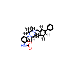 [2H]c1c([2H])c(CN2C([2H])([2H])C([2H])([2H])N(c3cccc4[nH]c(=O)oc34)C([2H])([2H])C2([2H])[2H])c([2H])c(-c2ccccc2)c1[2H]